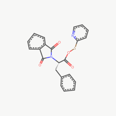 O=C(OSc1ccccn1)[C@H](Cc1ccccc1)N1C(=O)c2ccccc2C1=O